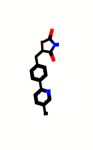 CCc1ccc(-c2ccc(CC3SC(=O)NC3=O)cc2)nc1